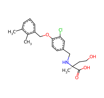 Cc1cccc(COc2ccc(CN[C@@](C)(CCO)C(=O)O)cc2Cl)c1C